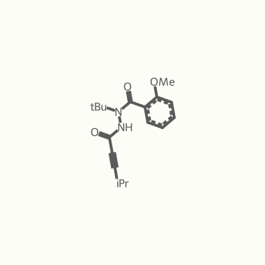 COc1ccccc1C(=O)N(NC(=O)C#CC(C)C)C(C)(C)C